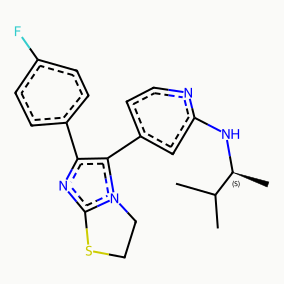 CC(C)[C@H](C)Nc1cc(-c2c(-c3ccc(F)cc3)nc3n2CCS3)ccn1